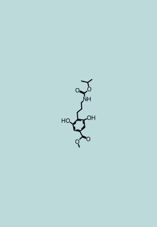 COC(=O)c1cc(O)c(CCCNC(=O)OC(C)C)c(O)c1